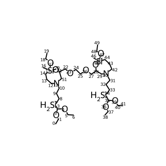 CCOC(OCC)[SiH2]CCCN1CCC[Si](C)(OCC)OC(COCCOCC2CN(CCC[SiH2]C(OCC)OCC)CCC[Si](C)(OCC)O2)C1